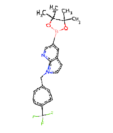 CC1(C)OB(c2cnc3c(ccn3Cc3ccc(C(F)(F)F)cc3)c2)OC1(C)C